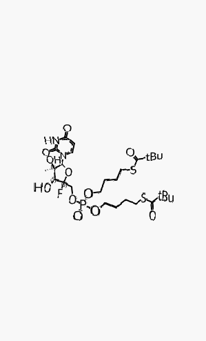 CC(C)(C)C(=O)SCCCCOP(=O)(OCCCCSC(=O)C(C)(C)C)OC[C@@]1(F)OC(n2ccc(=O)[nH]c2=O)[C@](C)(O)[C@@H]1O